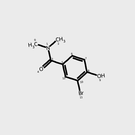 CN(C)C(=O)c1ccc(O)c(Br)c1